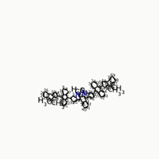 Cn1c2cc(-c3c4ccccc4c(-c4ccc5c(c4)C(C)(C)c4ccccc4-5)c4ccccc34)ccc2c2c3ccccc3c3c4ccc(-c5c6ccccc6c(-c6ccc7c(c6)C(C)(C)c6ccccc6-7)c6ccccc56)cc4n(C)c3c21